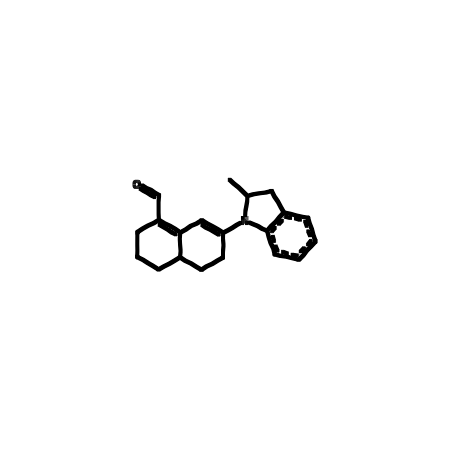 CC1Cc2ccccc2N1C1=CC2=C(C=O)CCCC2CC1